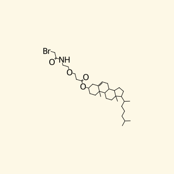 CC(C)CCCC(C)C1CCC2C3CC=C4CC(OC(=O)CCOCCNC(=O)CBr)CCC4(C)C3CCC12C